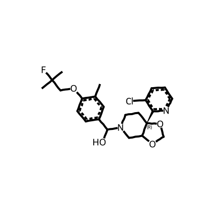 Cc1cc(C(O)N2CC[C@]3(c4ncccc4Cl)OCOC3C2)ccc1OCC(C)(C)F